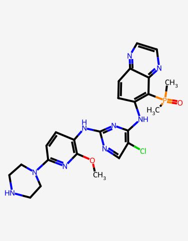 COc1nc(N2CCNCC2)ccc1Nc1ncc(Cl)c(Nc2ccc3nccnc3c2P(C)(C)=O)n1